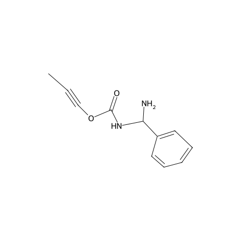 CC#COC(=O)NC(N)c1ccccc1